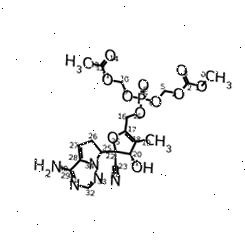 COC(=O)OCOP(=O)(OCOC(C)=O)OCC1=C(C)[C@@H](O)[C@](C#N)(C2CC=C3C(N)=NC=NN32)O1